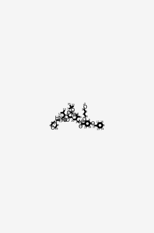 COCCCCOc1cc(OCc2ccccc2)ccc1C(=O)NC[C@@H](C[C@H](NC(=O)OC(C)(C)C)[C@@H](O)C[C@H](C(=O)NCCN1CCOCC1)C(C)C)C(C)C